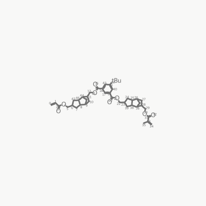 C=CC(=O)OCC1CC2C3CC(COC(=O)c4cc(C(=O)OCC5CC6C7CC(COC(=O)C(=C)C)C(C7)C6C5)cc(C(C)(C)C)c4)C(C3)C2C1